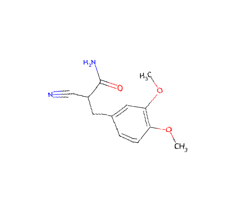 COc1ccc(CC(C#N)C(N)=O)cc1OC